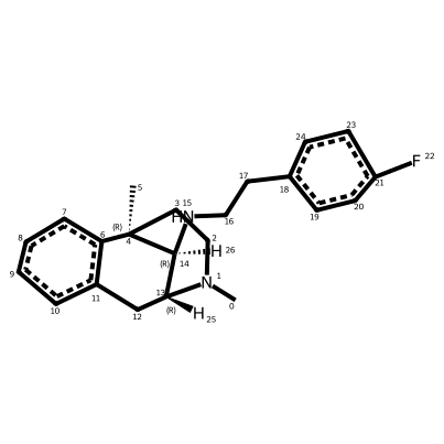 CN1CC[C@]2(C)c3ccccc3C[C@@H]1[C@@H]2NCCc1ccc(F)cc1